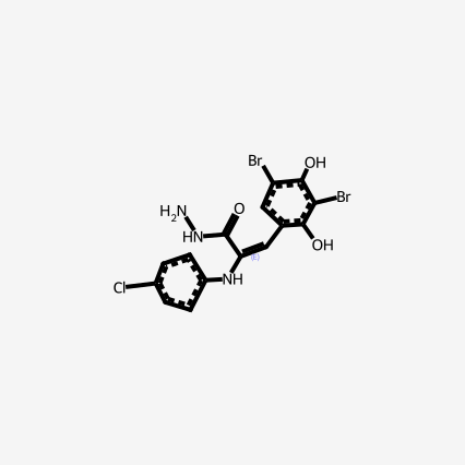 NNC(=O)/C(=C\c1cc(Br)c(O)c(Br)c1O)Nc1ccc(Cl)cc1